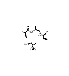 C=CC(=O)OCC(C)OC(=O)C(=C)C.CC(O)CO